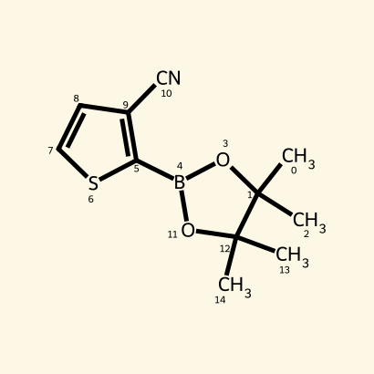 CC1(C)OB(c2sccc2C#N)OC1(C)C